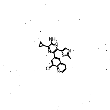 Cc1ncc(-c2nc(N)c(C3CC3)nc2-c2cc(Cl)c3ncccc3c2)s1